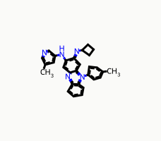 Cc1ccc(-n2c3c/c(=N\C4CCC4)c(Nc4cncc(C)c4)cc-3nc3ccccc32)cc1